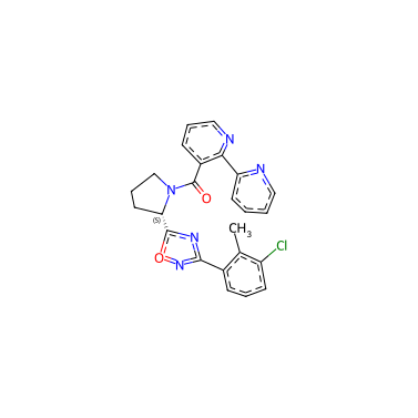 Cc1c(Cl)cccc1-c1noc([C@@H]2CCCN2C(=O)c2cccnc2-c2ccccn2)n1